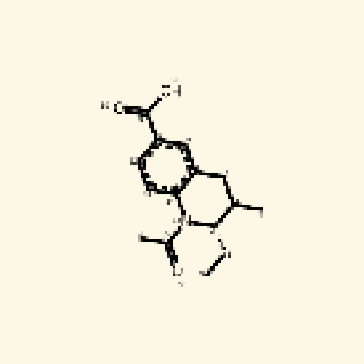 CC[C@H]1C(C)Cc2cc(C(=O)O)ccc2N1C(C)=O